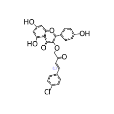 O=C(/C=C/c1ccc(Cl)cc1)COc1c(-c2ccc(O)cc2)oc2cc(O)cc(O)c2c1=O